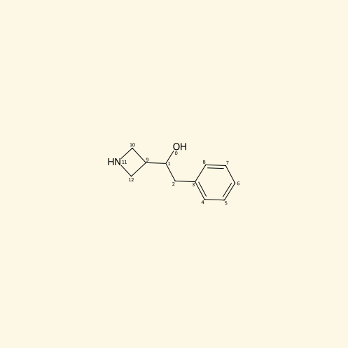 OC(Cc1ccccc1)C1CNC1